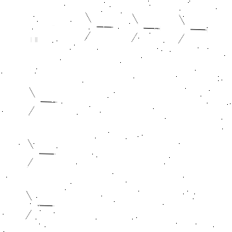 F.F.F.F.F.F.FP(F)F.FP(F)F.FP(F)F.FP(F)F.FP(F)F.FP(F)F